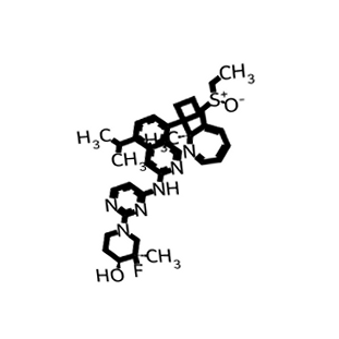 CC[S@+]([O-])CC1=CC=CC=N[C@@]1(C)C1(c2ccc(C(C)C)c3cc(Nc4ccnc(N5CC[C@H](O)[C@](C)(F)C5)n4)ncc23)CCC1